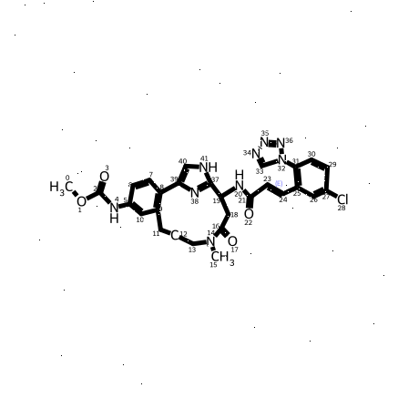 COC(=O)Nc1ccc2c(c1)CCCN(C)C(=O)CC(NC(=O)/C=C/c1cc(Cl)ccc1-n1cnnn1)c1nc-2c[nH]1